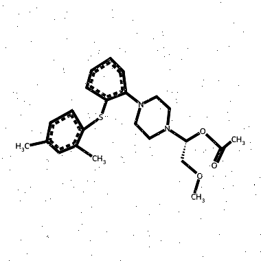 COC[C@@H](OC(C)=O)N1CCN(c2ccccc2Sc2ccc(C)cc2C)CC1